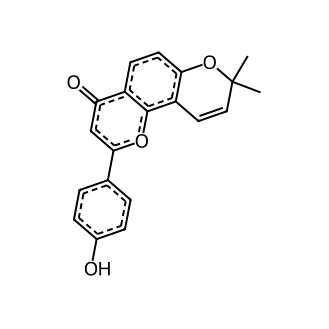 CC1(C)C=Cc2c(ccc3c(=O)cc(-c4ccc(O)cc4)oc23)O1